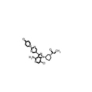 C=CC(=O)N1CCC[C@@H](n2nc(-c3cnc(-n4ccc(=O)cc4)nc3)c3c(N)ncc(Cl)c32)C1